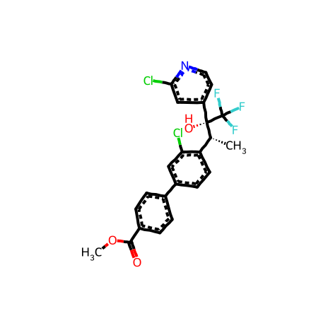 COC(=O)c1ccc(-c2ccc([C@@H](C)[C@@](O)(c3ccnc(Cl)c3)C(F)(F)F)c(Cl)c2)cc1